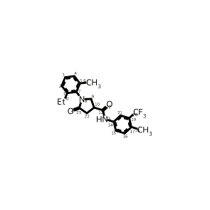 CCc1cccc(C)c1N1CC(C(=O)Nc2ccc(C)c(C(F)(F)F)c2)CC1=O